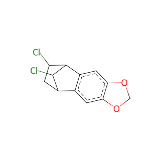 ClC1CC2c3cc4c(cc3C1C2Cl)OCO4